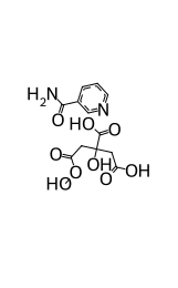 NC(=O)c1cccnc1.O=C(O)CC(O)(CC(=O)OO)C(=O)O